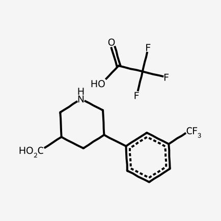 O=C(O)C(F)(F)F.O=C(O)C1CNCC(c2cccc(C(F)(F)F)c2)C1